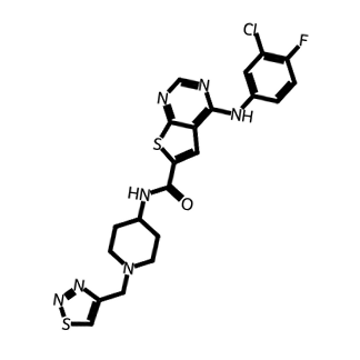 O=C(NC1CCN(Cc2csnn2)CC1)c1cc2c(Nc3ccc(F)c(Cl)c3)ncnc2s1